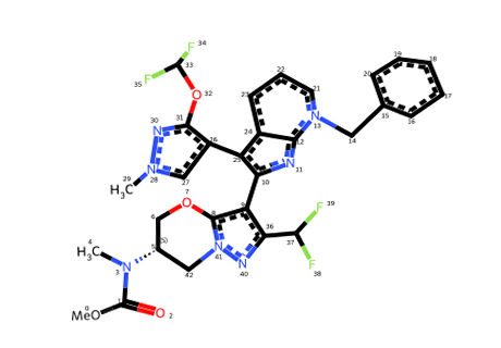 COC(=O)N(C)[C@@H]1COc2c(-c3nc4n(Cc5ccccc5)cccc-4c3-c3cn(C)nc3OC(F)F)c(C(F)F)nn2C1